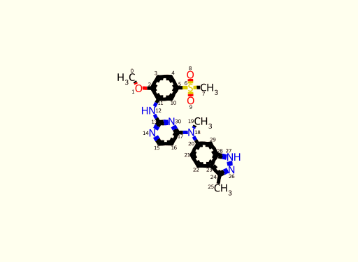 COc1ccc(S(C)(=O)=O)cc1Nc1nccc(N(C)c2ccc3c(C)n[nH]c3c2)n1